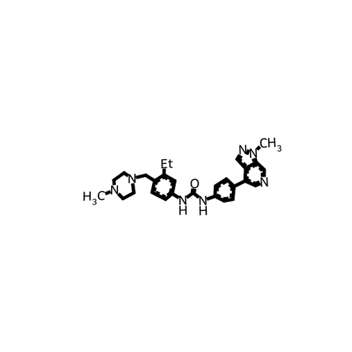 CCc1cc(NC(=O)Nc2ccc(-c3cncc4c3cnn4C)cc2)ccc1CN1CCN(C)CC1